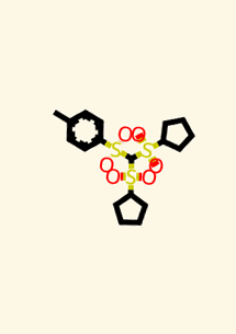 Cc1ccc(S(=O)(=O)C(S(=O)(=O)C2CCCC2)S(=O)(=O)C2CCCC2)cc1